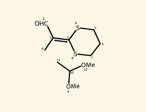 CC(C=O)=C1SCCCS1.COC(C)OC